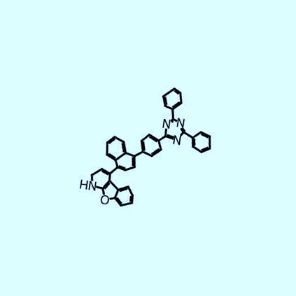 C1=C(c2ccc(-c3ccc(-c4nc(-c5ccccc5)nc(-c5ccccc5)n4)cc3)c3ccccc23)c2c(oc3ccccc23)NC1